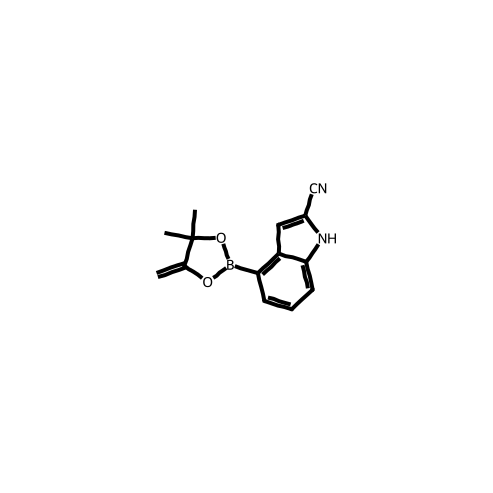 C=C1OB(c2cccc3[nH]c(C#N)cc23)OC1(C)C